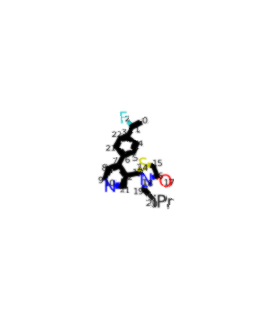 C=C(F)c1ccc(-c2ccncc2C2SCC(=O)N2CC(C)C)cc1